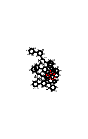 C1=CC2=c3ccc(-c4cc(-c5ccccc5)nc(-c5ccccc5-c5ccc6c(c5)Oc5ccccc5C65c6ccccc6-c6c(-c7cccc(-c8cccc(-c9cc(-c%10cccc(-c%11ccccc%11)c%10)nc(-c%10ccccc%10-c%10ccc%11c(c%10)Oc%10ccccc%10C%11%10c%11ccccc%11-c%11ccccc%11%10)n9)c8)c7)cccc65)n4)cc3=CCC2C=C1